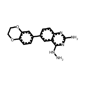 NNc1nc(N)nc2ccc(-c3ccc4c(c3)OCCO4)cc12